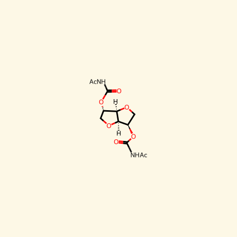 CC(=O)NC(=O)O[C@H]1CO[C@H]2[C@@H]1OC[C@H]2OC(=O)NC(C)=O